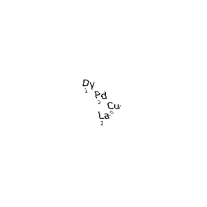 [Cu].[Dy].[La].[Pd]